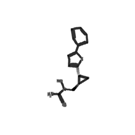 NC(=O)N(O)C[C@@H]1C[C@H]1c1ccc(-c2ccccc2)s1